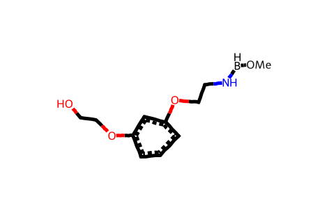 COBNCCOc1cccc(OCCO)c1